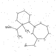 CNC(C)C1(C)CCCCC1C1CCCCC(CC(C)C)C1